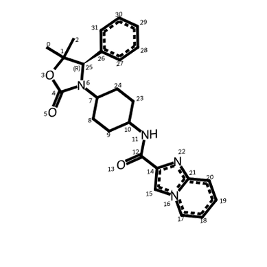 CC1(C)OC(=O)N(C2CCC(NC(=O)c3cn4ccccc4n3)CC2)[C@@H]1c1ccccc1